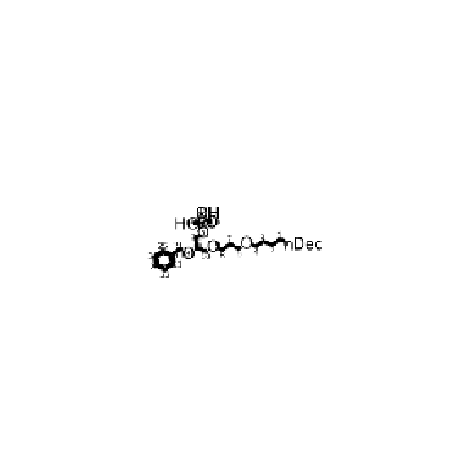 CCCCCCCCCCCCCCOCCCOCC(COP(=O)(O)O)OCc1ccccc1